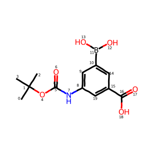 CC(C)(C)OC(=O)Nc1cc(B(O)O)cc(C(=O)O)c1